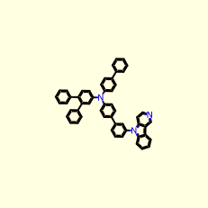 c1ccc(-c2ccc(N(c3ccc(-c4cccc(-n5c6ccccc6c6cnccc65)c4)cc3)c3ccc(-c4ccccc4)c(-c4ccccc4)c3)cc2)cc1